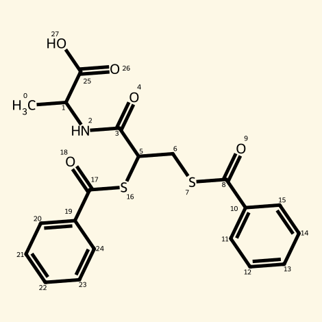 CC(NC(=O)C(CSC(=O)c1ccccc1)SC(=O)c1ccccc1)C(=O)O